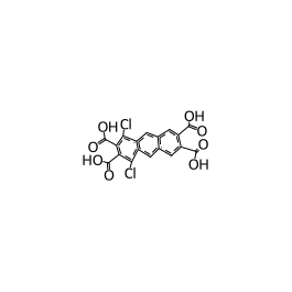 O=C(O)c1cc2cc3c(Cl)c(C(=O)O)c(C(=O)O)c(Cl)c3cc2cc1C(=O)O